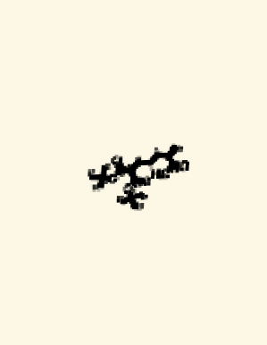 C=C(CCCC(C(=O)OC(C)(C)C)C(=O)OC(C)(C)C)C(=O)O